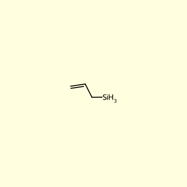 C=CC[SiH3]